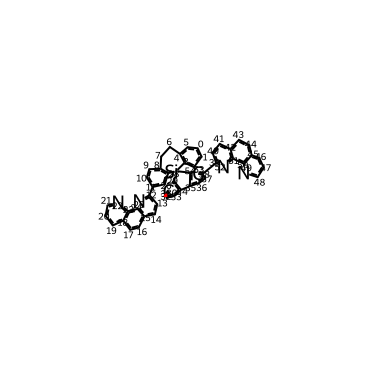 c1ccc2c(c1)CCc1ccc(-c3ccc4ccc5cccnc5c4n3)cc1[Si]21c2ccccc2-c2ccc(-c3ccc4ccc5cccnc5c4n3)cc21